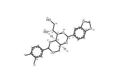 Cc1ccc(C2OC[C@@H]3OC(c4ccc5c(c4)OCO5)O[C@H]([C@H](O)CO)[C@@H]3O2)cc1C